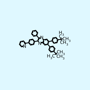 CC(C)(C)c1ccc(-c2cc3nc(-c4ccccc4)c(-c4ccc(-c5ccccn5)cc4)nc3cc2-c2ccc(C(C)(C)C)cc2)cc1